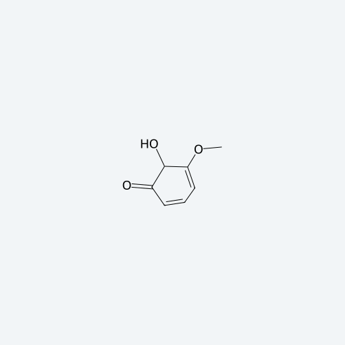 COC1=CC=CC(=O)C1O